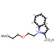 COCCOCCn1c(C(=O)O)cc2ccccc21